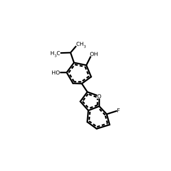 CC(C)c1c(O)cc(-c2cc3cccc(F)c3o2)cc1O